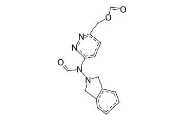 O=COCc1ccc(N(C=O)N2Cc3ccccc3C2)nn1